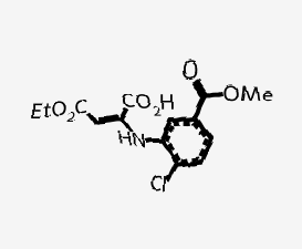 CCOC(=O)/C=C(/Nc1cc(C(=O)OC)ccc1Cl)C(=O)O